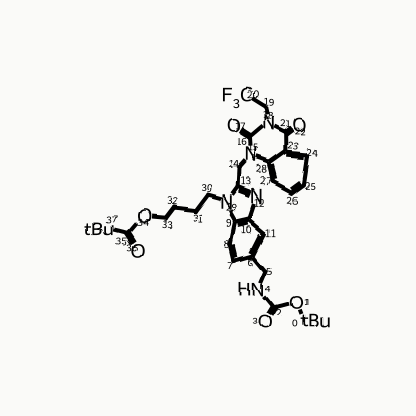 CC(C)(C)OC(=O)NCc1ccc2c(c1)nc(Cn1c(=O)n(CC(F)(F)F)c(=O)c3ccccc31)n2CCCCOC(=O)C(C)(C)C